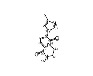 Cc1cn(-c2ccc3n(c2=O)CCN(C)C3=O)cn1